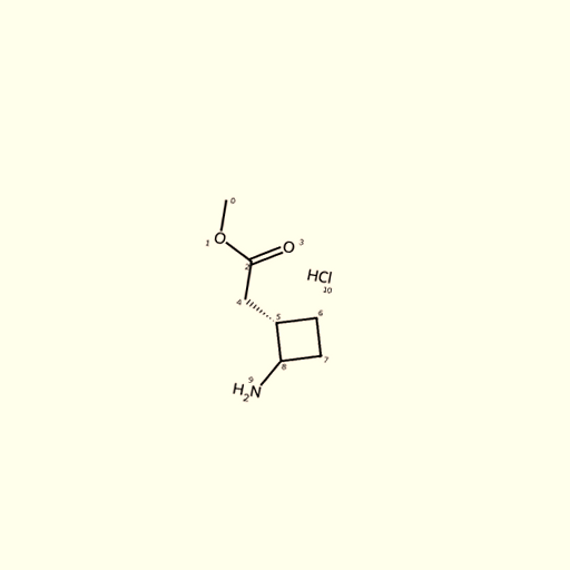 COC(=O)C[C@@H]1CCC1N.Cl